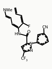 C=C/C=C(/F)C(=CC=CNC)NC(=O)c1cc(C(F)(F)F)nn1-c1cccc(C#N)c1